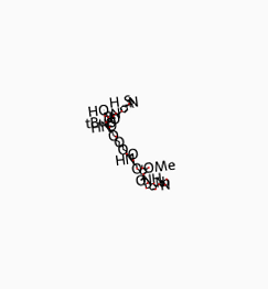 COc1cc(C(=O)N[C@@H]2CCc3ccc(-c4cn5c(n4)CCC5)cc32)cc(OCCCNC(=O)CCOCCOCCOCCC(=O)N[C@H](C(=O)N2C[C@H](O)C[C@H]2C(=O)NCc2ccc(-c3scnc3C)cc2)C(C)(C)C)c1C